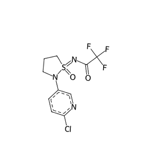 O=C(N=S1(=O)CCCN1c1ccc(Cl)nc1)C(F)(F)F